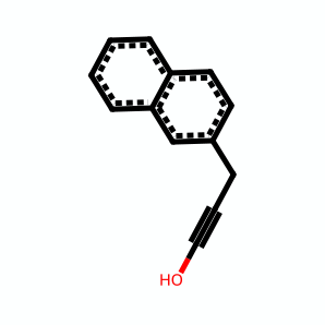 OC#CCc1ccc2ccccc2c1